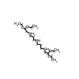 CCOC(C[SiH2]CCCNCCC[SiH2]CC(OCC)OCC)OCC